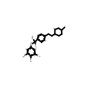 CC1CCC(CCc2ccc(C(F)(F)Oc3cc(F)c(F)c(F)c3)cc2)CC1